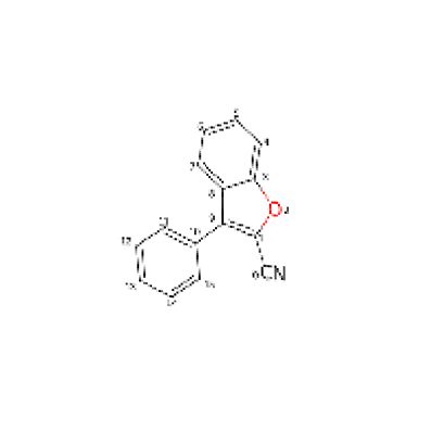 N#Cc1oc2ccccc2c1-c1ccccc1